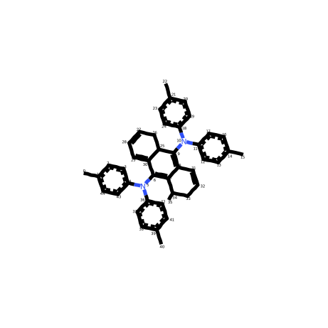 Cc1ccc(N(C2=C3C(=C(N(c4ccc(C)cc4)c4ccc(C)cc4)C4CC=CC=C24)C=CCC3C)c2ccc(C)cc2)cc1